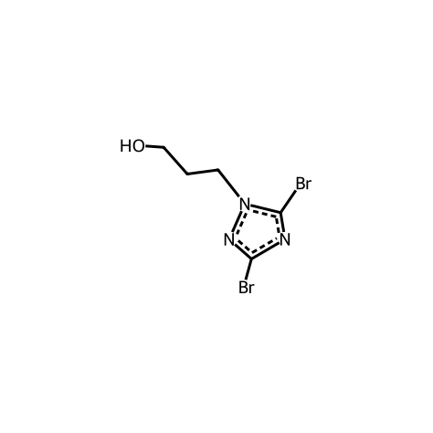 OCCCn1nc(Br)nc1Br